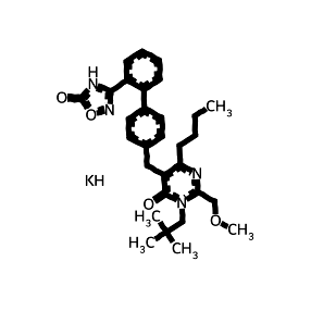 CCCCc1nc(COC)n(CC(C)(C)C)c(=O)c1Cc1ccc(-c2ccccc2-c2noc(=O)[nH]2)cc1.[KH]